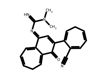 CN(C)C(=N)/N=C1\C=C(C2=CCC=CC=C2C#N)C(=O)C2=CCC=CC=C21